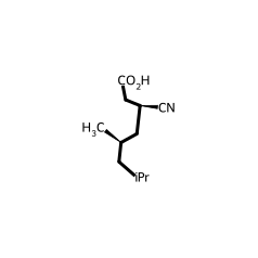 CC(C)C[C@@H](C)C[C@H](C#N)CC(=O)O